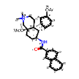 CO[C@]12CC[C@H](NC(=O)c3ccc4ccccc4c3)C[C@]1(c1cccc(OC(C)=O)c1)CC[N+](C)(C)C2